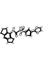 O=C(Nc1c2c(cc3c1CCC3)CCC2)NS(=O)(=O)c1cc(C2OCCO2)cs1